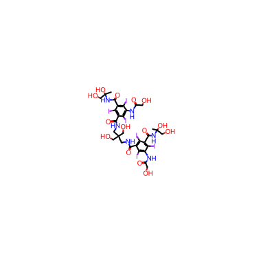 CC(O)(CO)NC(=O)c1c(I)c(NC(=O)CO)c(I)c(C(=O)NCC(CO)(CO)CNC(=O)c2c(I)c(NC(=O)CO)c(I)c(C(=O)NC(C)(O)CO)c2I)c1I